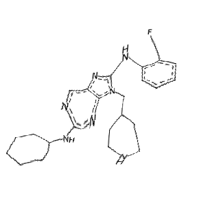 Fc1ccccc1Nc1nc2cnc(NC3CCCCC3)nc2n1CC1CCNCC1